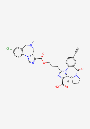 C#Cc1ccc2c(c1)C(=O)N1CCC[C@H]1c1c(C(=O)O)nc(CCCOC(=O)c3ncn4c3CN(C)Cc3cc(Cl)ccc3-4)n1-2